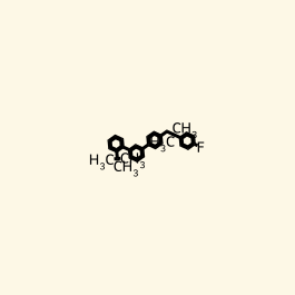 CC(C)(C)c1ccccc1-c1cccc(-c2ccc(CC(C)(C)c3ccc(F)cc3)cc2)c1